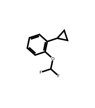 FC(F)Oc1ccc[c]c1C1CC1